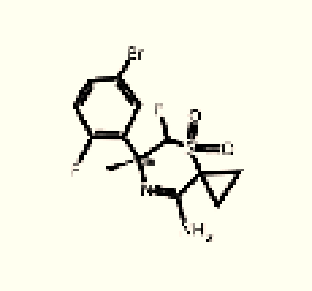 C[C@]1(c2cc(Br)ccc2F)N=C(N)C2(CC2)S(=O)(=O)C1F